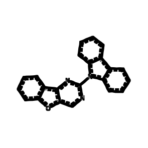 c1ccc2c(c1)oc1cnc(-n3c4ccccc4c4ccccc43)nc12